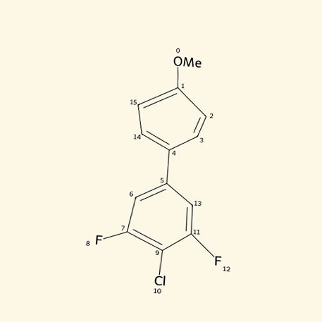 COc1ccc(-c2cc(F)c(Cl)c(F)c2)cc1